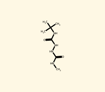 CNC(=O)NNC(=O)NC(C)(C)C